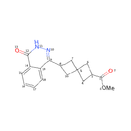 COC(=O)C1CC2(C1)CC(c1n[nH]c(=O)c3ccccc13)C2